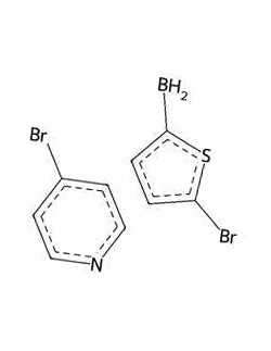 Bc1ccc(Br)s1.Brc1ccncc1